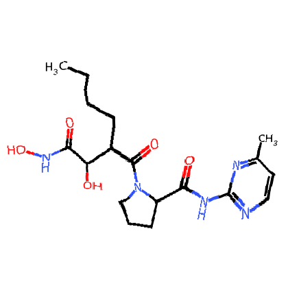 CCCCC(C(=O)N1CCCC1C(=O)Nc1nccc(C)n1)C(O)C(=O)NO